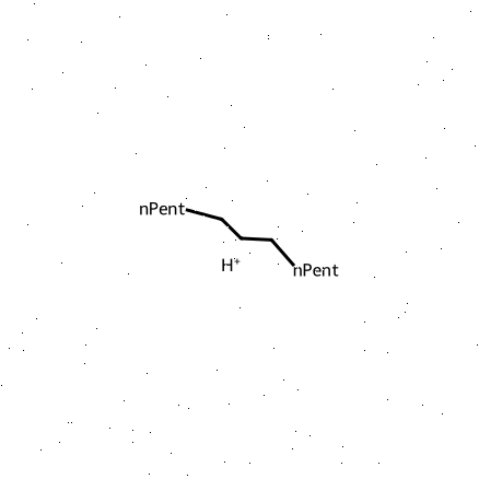 [CH2]CCCCCCCCCCCC.[H+]